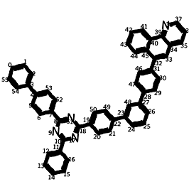 c1ccc(-c2ccc(-c3nc(-c4ccccc4)nc(-c4ccc(-c5cccc(-c6ccc(-c7cc8cccnc8c8ccccc78)cc6)c5)cc4)n3)cc2)cc1